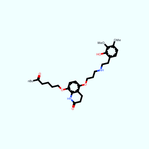 CCCCC(=O)CCCCOc1ccc(OCCCNCCc2ccc(OC)c(OC)c2O)c2c1NC(=O)CC2